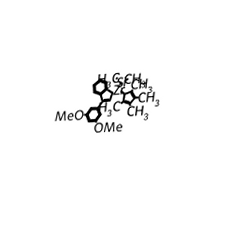 COc1cc(OC)cc(C2=C[CH]([Zr]([CH]3C(C)=C(C)C(C)=C3C)=[Si](C)C)c3ccccc32)c1